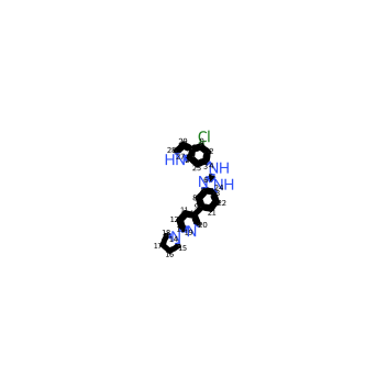 Clc1cc(Nc2nc3cc(-c4ccc(N5CCCC5)nc4)ccc3[nH]2)cc2[nH]ccc12